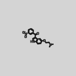 CN(C)CCOc1ccc2[nH]cc(C(=O)c3cccc([N+](=O)[O-])c3)c2c1